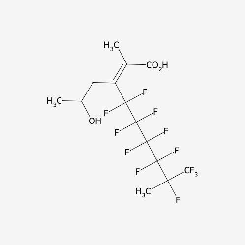 CC(C(=O)O)=C(CC(C)O)C(F)(F)C(F)(F)C(F)(F)C(F)(F)C(C)(F)C(F)(F)F